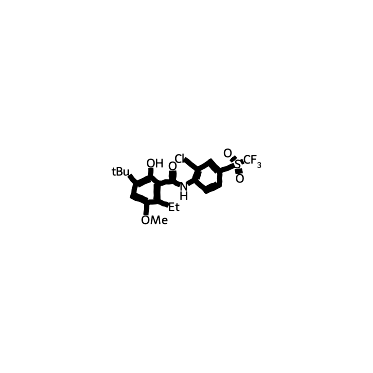 CCc1c(OC)cc(C(C)(C)C)c(O)c1C(=O)Nc1ccc(S(=O)(=O)C(F)(F)F)cc1Cl